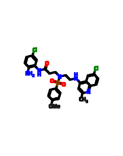 COc1ccc(S(=O)(=O)N(CCNc2cc(C)nc3ccc(Cl)cc23)CCC(=O)Nc2cc(Cl)ccc2N)cc1